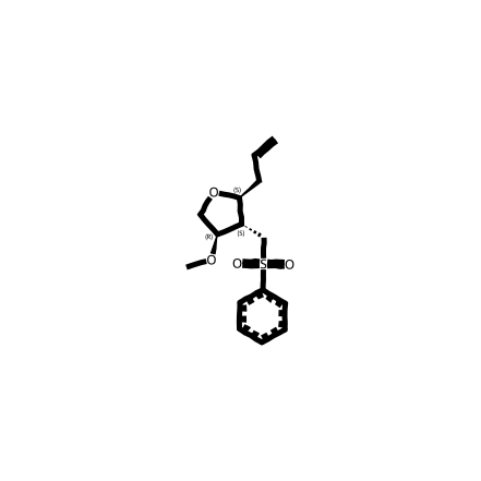 C=CC[C@@H]1OC[C@H](OC)[C@H]1CS(=O)(=O)c1ccccc1